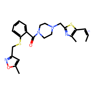 C/C=C\c1sc(CN2CCN(C(=O)c3ccccc3SCc3cc(C)on3)CC2)nc1C